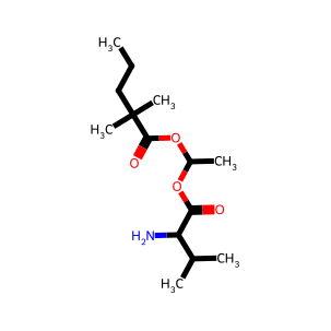 CCCC(C)(C)C(=O)OC(C)OC(=O)C(N)C(C)C